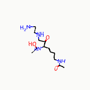 CC(=O)NCCCCC(NC(C)O)C(=O)CNCCN